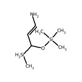 C[SiH2]C(C=CN)O[Si](C)(C)C